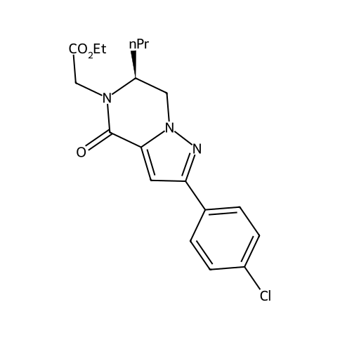 CCC[C@H]1Cn2nc(-c3ccc(Cl)cc3)cc2C(=O)N1CC(=O)OCC